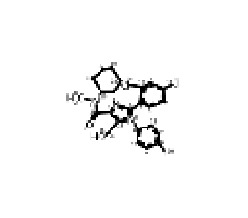 CN(C(=O)c1nc(-c2ccc(Cl)cc2Cl)n(-c2ccc(I)cc2)c1CO)C1CCCCC1